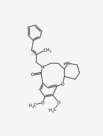 COc1cc2cc(c1OC)OC1CCCNC1CCN(C/C(C)=C/c1ccccc1)C2=O